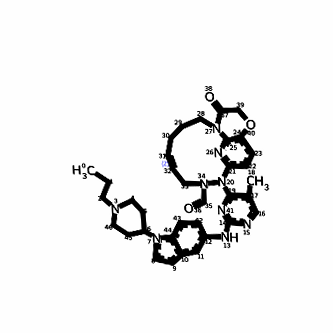 CCCN1CCC(n2ccc3cc(Nc4ncc(C)c(N5c6ccc7c(n6)N(CCC/C=C\CN5C=O)C(=O)CO7)n4)ccc32)CC1